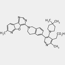 Cc1ccc2c(n1)oc1c(N3CCc4cc(-c5cnc(C)c(CC(=O)O)c5N5CCC(C)(C)CC5)ccc4C3)ncnc12